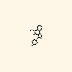 CC(C)n1c(=O)c2c(-c3ccc(F)cc3)ncn2c2ccccc21